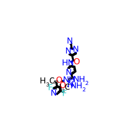 C[C@@H](OC(=O)N/C(=C(/N)c1ccc(NC(=O)c2cnc(C#N)nc2)cn1)N(C)N)c1cc(F)cnc1F